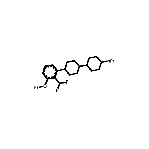 CCCC1CCC(C2CCC(c3cccc(OCC)c3C(F)F)CC2)CC1